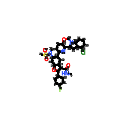 CNC(=O)c1c(-c2ccc(F)cc2)oc2cc(N(C)S(C)(=O)=O)c(-c3ccc4c(n3)-c3cc5c(Cl)cccc5n3CO4)cc12